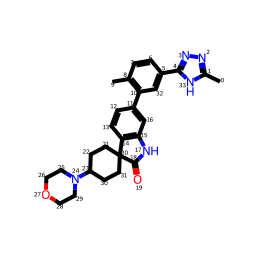 Cc1nnc(-c2ccc(C)c(-c3ccc4c(c3)NC(=O)C43CCC(N4CCOCC4)CC3)c2)[nH]1